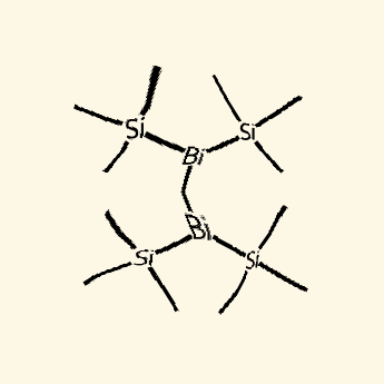 C[Si](C)(C)[Bi]([Bi]([Si](C)(C)C)[Si](C)(C)C)[Si](C)(C)C